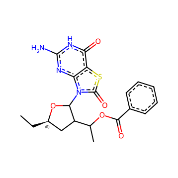 CC[C@@H]1CC(C(C)OC(=O)c2ccccc2)C(n2c(=O)sc3c(=O)[nH]c(N)nc32)O1